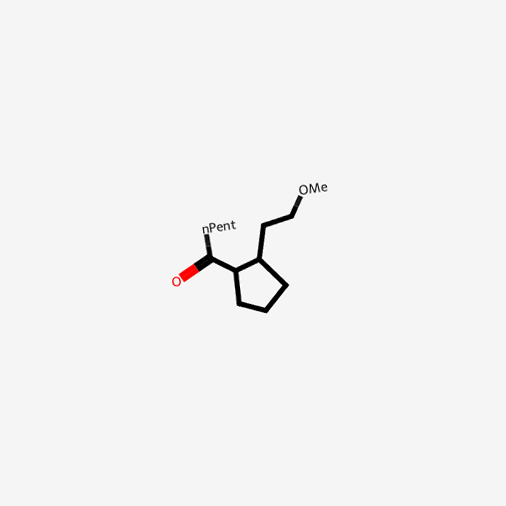 CCCCCC(=O)C1CCCC1CCOC